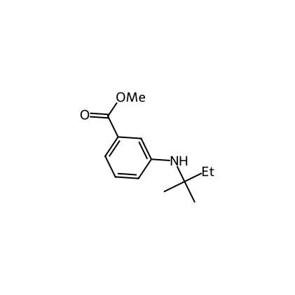 CCC(C)(C)Nc1cccc(C(=O)OC)c1